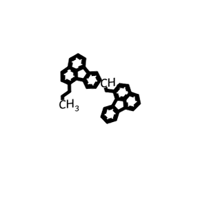 CCCc1ccc2cccc3c2c1-c1ccccc1-3.CCc1ccc2cccc3c2c1-c1ccccc1-3